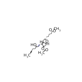 CC#CCC[C@H](O)/C=C/[C@@H]1[C@H]2C[C@H](CCCCC(=O)OC)O[C@H]2C[C@H]1OC(C)=O